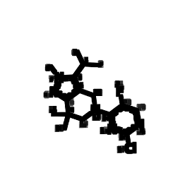 CC(C)c1c2c(nn1C)C(C)(C)CN(c1nc(Cl)ncc1F)C2